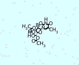 CC(=O)OC(O)[C@H]1O[C@@H](n2cc(C)c(=O)[nH]c2=O)C(Br)[C@@]1(O)OC(C)=O